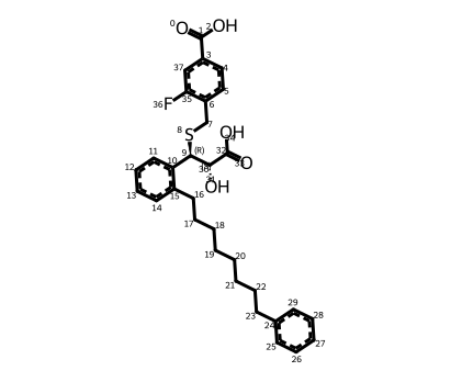 O=C(O)c1ccc(CS[C@H](c2ccccc2CCCCCCCCc2ccccc2)[C@@H](O)C(=O)O)c(F)c1